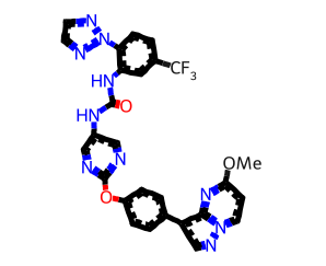 COc1ccn2ncc(-c3ccc(Oc4ncc(NC(=O)Nc5cc(C(F)(F)F)ccc5-n5nccn5)cn4)cc3)c2n1